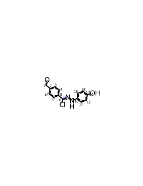 O=Cc1ccc(/C(Cl)=N/Nc2ccc(O)cc2)cc1